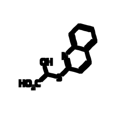 O=C(O)C(O)Sc1ccc2ccccc2n1